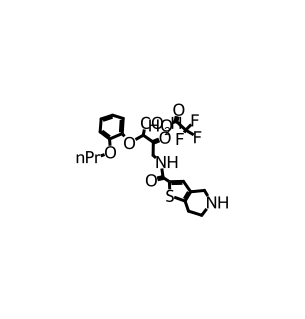 CCCOc1ccccc1OC(C(=O)O)C(=O)CNC(=O)c1cc2c(s1)CCNC2.O=C(O)C(F)(F)F